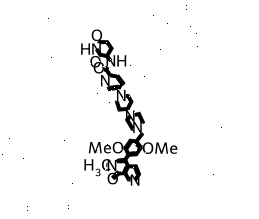 COc1cc(-c2cn(C)c(=O)c3cnccc23)c(OC)cc1CN1CCN(C2CCN(c3ccc(C(=O)NC4CCC(=O)NC4=O)nc3)CC2)CC1